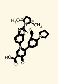 C[C@@H]1CC[C@H](C)N1c1nc2ccc(-n3cc(C(=O)O)c(=O)cc3-c3ccc(N4CCCC4)c(C#N)c3)cc2o1